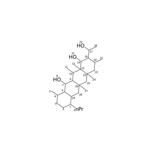 CCCC1CCC(C)C2C(O)C3C(C)C4(C)C(O)C(C(C)O)C(C)CC4(C)CC3(C)CC12